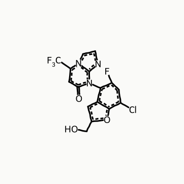 O=c1cc(C(F)(F)F)n2ccnc2n1-c1c(F)cc(Cl)c2oc(CO)cc12